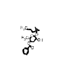 C=CCCC1(O[C@@H]2O[C@@H](C)[C@H](OC(=O)c3ccccc3)C[C@H]2O)CC1